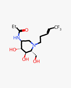 CCC(=O)N[C@H]1CN(CCC=CC(F)(F)F)[C@H](CO)[C@@H](O)[C@@H]1O